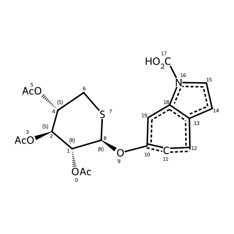 CC(=O)O[C@@H]1[C@@H](OC(C)=O)[C@H](OC(C)=O)CS[C@H]1Oc1ccc2ccn(C(=O)O)c2c1